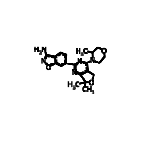 CC1COCCN1c1nc(-c2ccc3c(N)noc3c2)nc2c1COC2(C)C